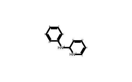 C1=CNC(Nc2ccccc2)C=C1